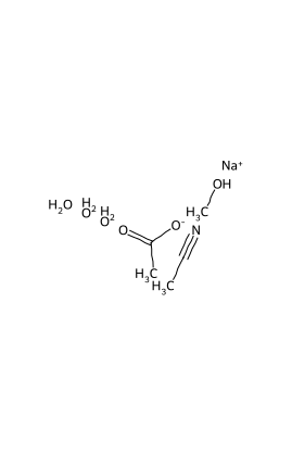 CC#N.CC(=O)[O-].CO.O.O.O.[Na+]